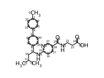 Cc1ccc(-c2ccc(C(CC(C)C)Nc3ccc(C(=O)NCCC(=O)O)cn3)cc2)cc1